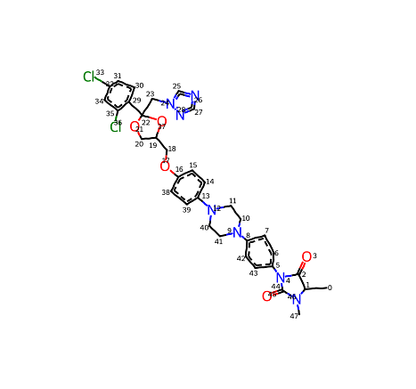 CC1C(=O)N(c2ccc(N3CCN(c4ccc(OCC5COC(Cn6cncn6)(c6ccc(Cl)cc6Cl)O5)cc4)CC3)cc2)C(=O)N1C